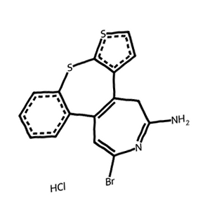 Cl.NC1=NC(Br)=CC2=C(C1)c1ccsc1Sc1ccccc12